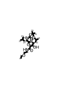 CCOCCNC(=O)C[C@H](O)[C@H](CC(C)C)NC(=O)[C@H](CC(C)C)NC(=O)OC(C)(C)C